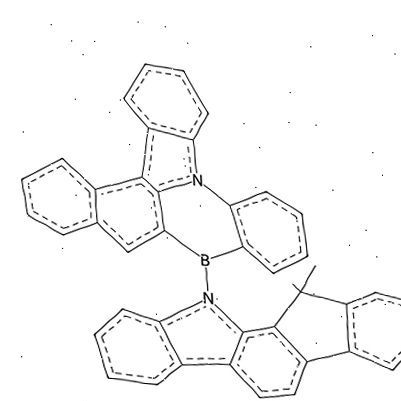 CC1(C)c2ccccc2-c2ccc3c4ccccc4n(B4c5ccccc5-n5c6ccccc6c6c7ccccc7cc4c65)c3c21